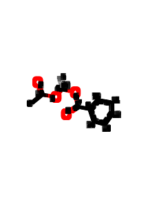 CC(=O)O[C@H](C)OC(=O)c1ccccc1